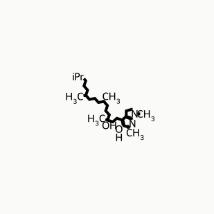 Cc1nc2c(c(CCC(C)(O)CCCC(C)CCCC(C)CCCC(C)C)c1O)CCN2C